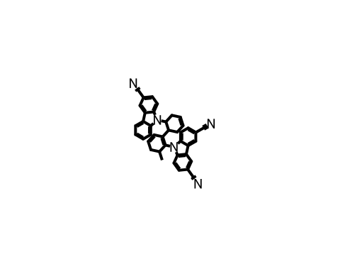 CC1CC=CC(C2CC=CCC2n2c3ccccc3c3cc(C#N)ccc32)=C1n1c2ccc(C#N)cc2c2cc(C#N)ccc21